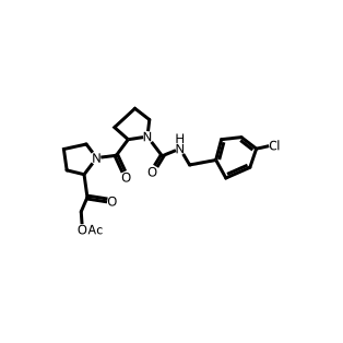 CC(=O)OCC(=O)C1CCCN1C(=O)C1CCCN1C(=O)NCc1ccc(Cl)cc1